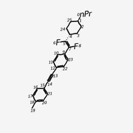 CCC[C@H]1CC[C@H](/C(F)=C(\F)c2ccc(C#Cc3ccc(C)cc3)cc2)CC1